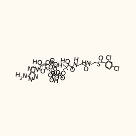 CC(C)(COP(=O)(O)OP(=O)(O)OC[C@H]1O[C@@H](n2cnc3c(N)ncnc32)[C@H](O)[C@@H]1OP(=O)(O)O)[C@@H](O)C(=O)NCCC(=O)NCCSC(=O)c1ccc(Cl)cc1Cl